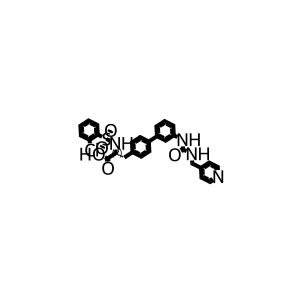 O=C(NCc1ccncc1)Nc1cccc(-c2ccc(C[C@@H](NS(=O)(=O)c3ccccc3Cl)C(=O)O)cc2)c1